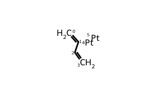 C=CC=C.[Pt].[Pt]